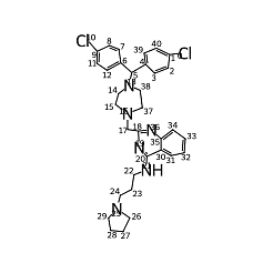 Clc1ccc(C(c2ccc(Cl)cc2)N2CCN(Cc3nc(NCCCN4CCCC4)c4ccccc4n3)CC2)cc1